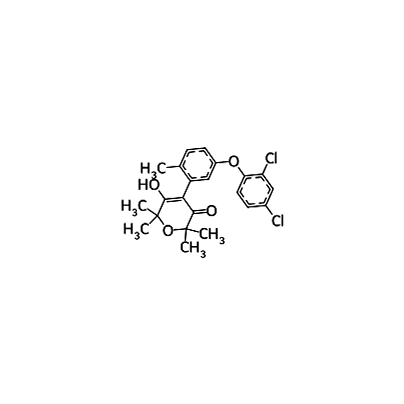 Cc1ccc(Oc2ccc(Cl)cc2Cl)cc1C1=C(O)C(C)(C)OC(C)(C)C1=O